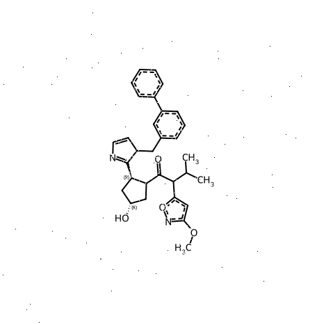 COc1cc(C(C(=O)C2C[C@H](O)C[C@H]2C2=NC=CC2Cc2cccc(-c3ccccc3)c2)C(C)C)on1